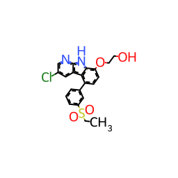 CCS(=O)(=O)c1cccc(-c2ccc(OCCO)c3[nH]c4ncc(Cl)cc4c23)c1